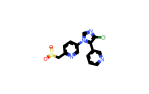 O=[SH](=O)Cc1ccc(-n2cnc(Cl)c2-c2cccnc2)cn1